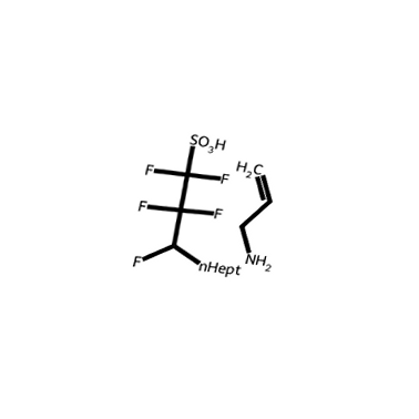 C=CCN.CCCCCCCC(F)C(F)(F)C(F)(F)S(=O)(=O)O